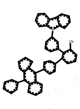 N#Cc1cccc(-c2ccc(-c3c4ccccc4c(-c4ccccc4)c4ccccc34)cc2)c1-c1cccc(-n2c3ccccc3c3ccccc32)c1